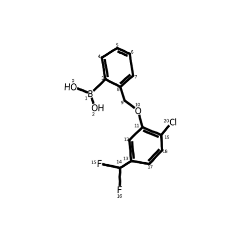 OB(O)c1ccccc1COc1cc(C(F)F)ccc1Cl